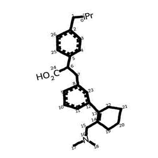 CC(C)Cc1ccc(C(Cc2cccc(C3=C(CN(C)C)CCCC3)c2)C(=O)O)cc1